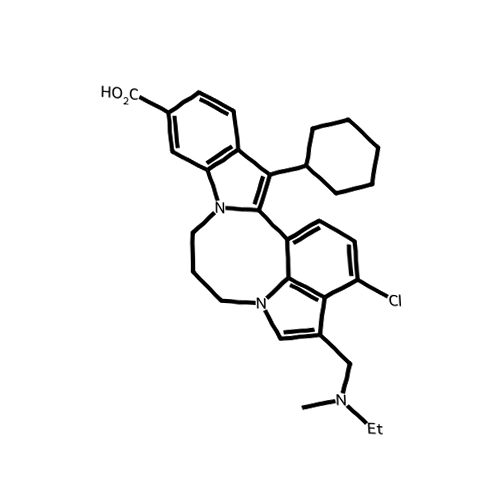 CCN(C)Cc1cn2c3c(ccc(Cl)c13)-c1c(C3CCCCC3)c3ccc(C(=O)O)cc3n1CCC2